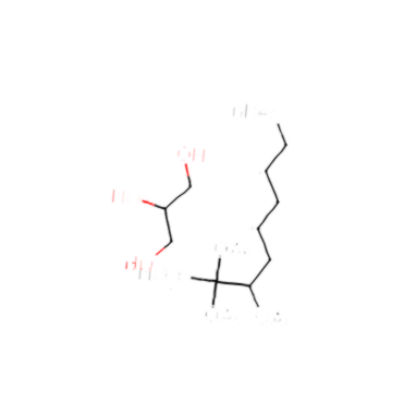 CCCCCCCCCCCCCCCC(OC(C)=O)C(OC(C)=O)(OC(C)=O)C(=O)O.OCC(O)CO